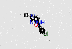 CCC(C)c1cc(N)c2cc(NC(=O)C=Cc3ccc(Cl)cc3)ccc2n1